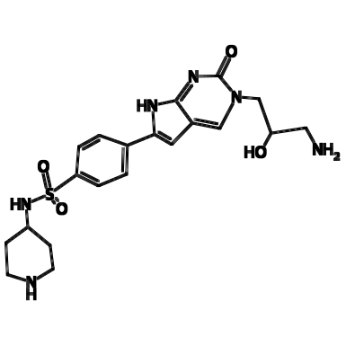 NCC(O)Cn1cc2cc(-c3ccc(S(=O)(=O)NC4CCNCC4)cc3)[nH]c2nc1=O